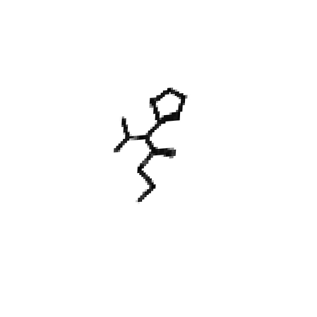 CCCC(=O)C(C1=N[CH]CS1)C(C)C